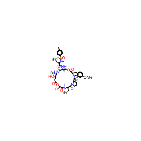 CC[C@H](C)[C@H]1NC(=O)[C@@H](NC(=O)[C@@H](CC(C)C)N(C)S(=O)(=O)c2ccc(C)cc2)[C@@H](C)OC(=O)[C@H](Cc2ccc(OC)cc2)N(C)C(=O)[C@@H]2CCCN2C(=O)[C@H](CC(C)C)NC(=O)C(C(C)C)OC(=O)C[C@@H]1O